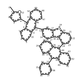 Cc1ccc(-c2c3ccccc3c(-c3ccc4c(c3)sc3cccc(-c5c6ccccc6c(-c6ccccc6)c6ccccc56)c34)c3ccccc23)o1